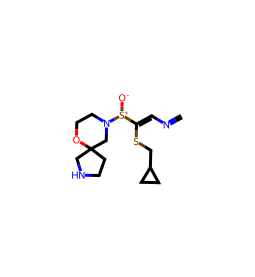 C=N/C=C(\SCC1CC1)[S+]([O-])N1CCOC2(CCNC2)C1